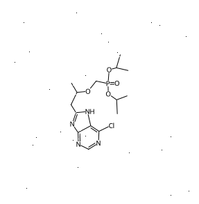 CC(C)OP(=O)(COC(C)Cc1nc2ncnc(Cl)c2[nH]1)OC(C)C